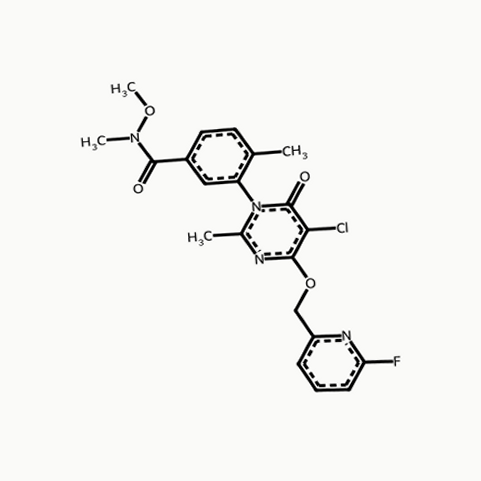 CON(C)C(=O)c1ccc(C)c(-n2c(C)nc(OCc3cccc(F)n3)c(Cl)c2=O)c1